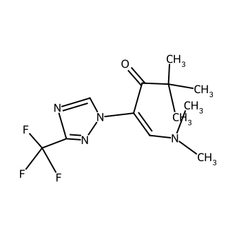 CN(C)C=C(C(=O)C(C)(C)C)n1cnc(C(F)(F)F)n1